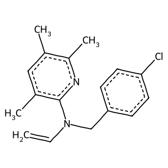 C=CN(Cc1ccc(Cl)cc1)c1nc(C)c(C)cc1C